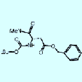 CNC(=O)[C@H](CC(=O)OCc1ccccc1)NC(=O)OC(C)(C)C